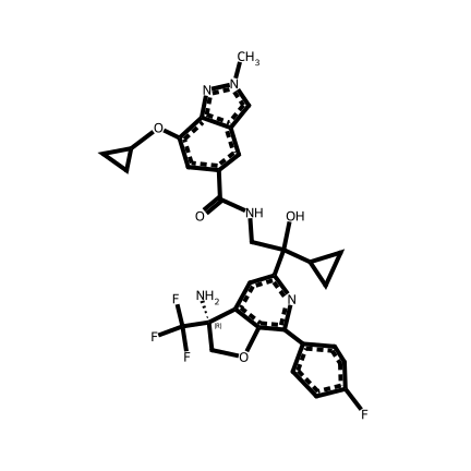 Cn1cc2cc(C(=O)NCC(O)(c3cc4c(c(-c5ccc(F)cc5)n3)OC[C@@]4(N)C(F)(F)F)C3CC3)cc(OC3CC3)c2n1